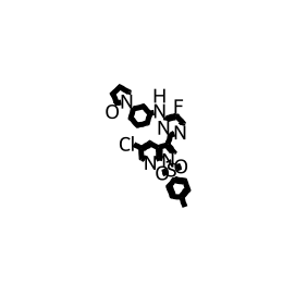 Cc1ccc(S(=O)(=O)n2cc(-c3ncc(F)c(NC4CCCC(N5CCCC5=O)C4)n3)c3cc(Cl)cnc32)cc1